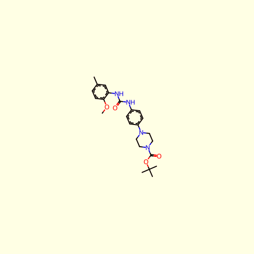 COc1ccc(C)cc1NC(=O)Nc1ccc(N2CCN(C(=O)OC(C)(C)C)CC2)cc1